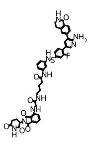 Nc1ncc(-c2ccc(SNc3cccc(NC(=O)CCCCNC(=O)CNc4cccc5c4C(=O)N(C4CCC(=O)NC4=O)C5=O)c3)cc2F)cc1-c1ccc2c(c1)CCNC2=O